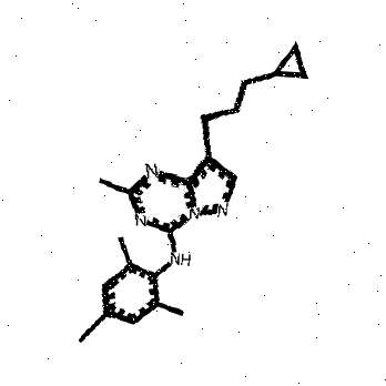 Cc1cc(C)c(Nc2nc(C)nc3c(CCCC4CC4)cnn23)c(C)c1